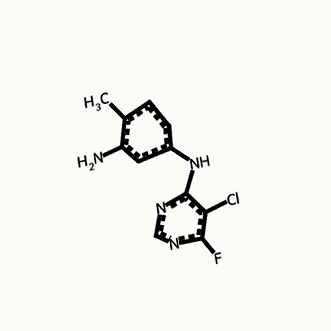 Cc1ccc(Nc2ncnc(F)c2Cl)cc1N